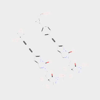 C[C@@](CCN1Cc2cc(C#CC#CC3(O)COC3)cn2C1=O)(C(=O)NO)S(C)(=O)=O.C[C@@](CCN1Cc2cc(C#Cc3ccc(C4C[C@H]4CO)cc3)cn2C1=O)(C(=O)NO)S(C)(=O)=O